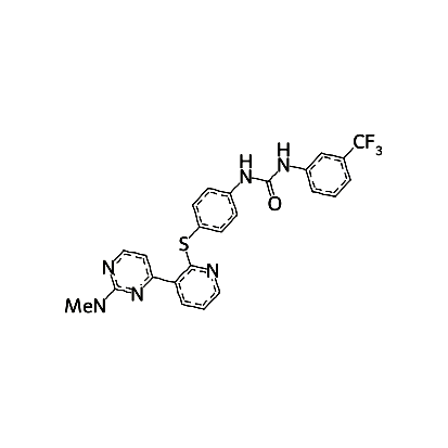 CNc1nccc(-c2cccnc2Sc2ccc(NC(=O)Nc3cccc(C(F)(F)F)c3)cc2)n1